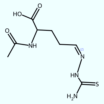 CC(=O)NC(CC/C=N\NC(N)=S)C(=O)O